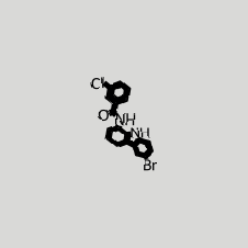 O=C(NC1CCCc2c1[nH]c1ccc(Br)cc21)c1cccc(Cl)c1